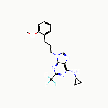 COc1ccccc1CCCn1cnc2c(NC3CC3)nc(C(F)(F)F)nc21